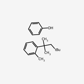 Cc1ccccc1C(C)(C)CC(C)(C)C.Oc1ccccc1